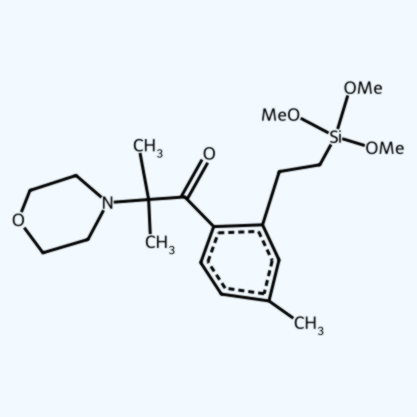 CO[Si](CCc1cc(C)ccc1C(=O)C(C)(C)N1CCOCC1)(OC)OC